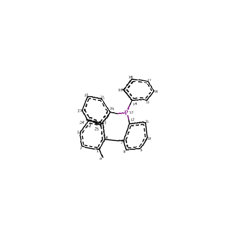 Cc1ccccc1-c1ccccc1P(c1ccccc1)c1ccccc1